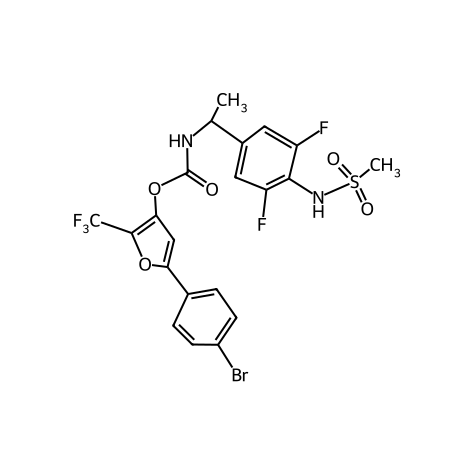 CC(NC(=O)Oc1cc(-c2ccc(Br)cc2)oc1C(F)(F)F)c1cc(F)c(NS(C)(=O)=O)c(F)c1